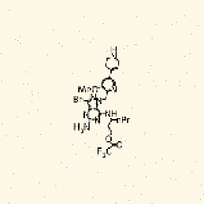 CCCC(CCOC(=O)C(F)(F)F)Nc1nc(N)nc2c(Br)nn(Cc3ncc(C4=CCNCC4)cc3OC)c12